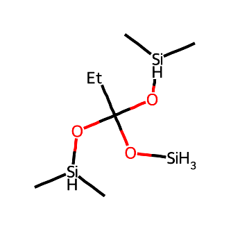 CCC(O[SiH3])(O[SiH](C)C)O[SiH](C)C